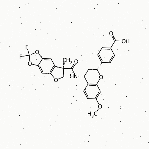 COc1ccc2c(c1)O[C@@H](c1ccc(C(=O)O)cc1)C[C@H]2NC(=O)[C@]1(C)COc2cc3c(cc21)OC(F)(F)O3